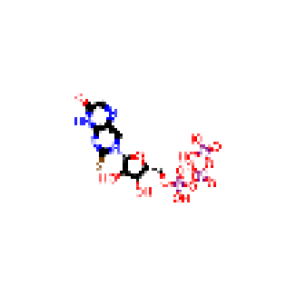 O=c1cnc2cn([C@@H]3O[C@H](COP(=O)(O)OP(=O)(O)OP(=O)(O)O)[C@H](O)C3O)c(=S)nc2[nH]1